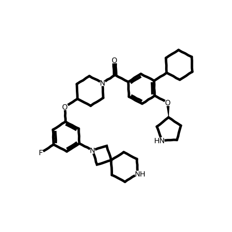 O=C(c1ccc(O[C@H]2CCNC2)c(C2CCCCC2)c1)N1CCC(Oc2cc(F)cc(N3CC4(CCNCC4)C3)c2)CC1